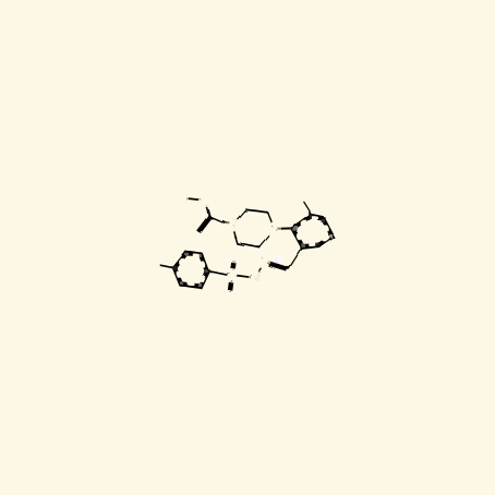 Cc1ccc(S(=O)(=O)N/N=C/c2cccc(F)c2N2CCN(C(=O)OC(C)(C)C)CC2)cc1